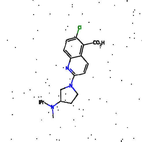 CC(C)N(C)C1CCN(c2ccc3c(C(=O)O)c(Cl)ccc3n2)C1